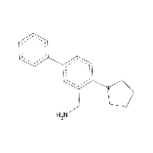 NCc1cc(-c2ccccc2)ccc1N1CCCC1